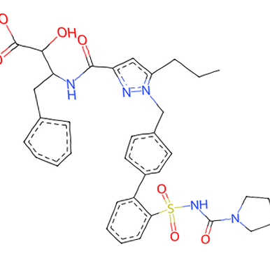 CCCc1cc(C(=O)NC(Cc2ccccc2)C(O)C(=O)O)nn1Cc1ccc(-c2ccccc2S(=O)(=O)NC(=O)N2CCCC2)cc1